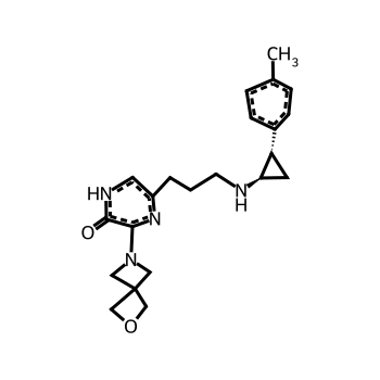 Cc1ccc([C@@H]2C[C@H]2NCCCc2c[nH]c(=O)c(N3CC4(COC4)C3)n2)cc1